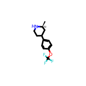 C[C@H]1CC(c2ccc(OC(F)(F)F)cc2)CCN1